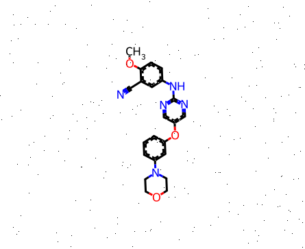 COc1ccc(Nc2ncc(Oc3cccc(N4CCOCC4)c3)cn2)cc1C#N